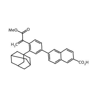 C=C(C(=O)OC)c1ccc(-c2ccc3cc(C(=O)O)ccc3c2)cc1C12CC3CC(CC(C3)C1)C2